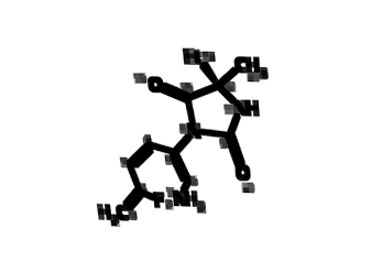 C=C(F)/C=C\C(=C/N)N1C(=O)N[C@](C)(CC)C1=O